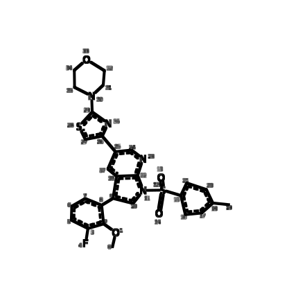 COc1c(F)cccc1-c1cn(S(=O)(=O)c2ccc(C)cc2)c2ncc(-c3csc(N4CCOCC4)n3)cc12